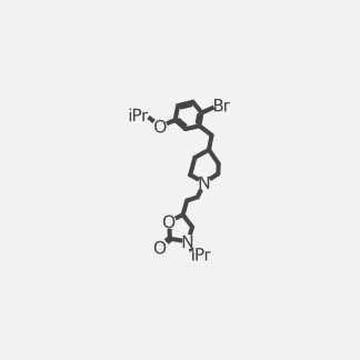 CC(C)Oc1ccc(Br)c(CC2CCN(CCC3CN(C(C)C)C(=O)O3)CC2)c1